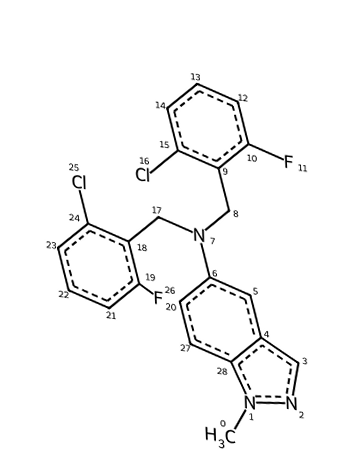 Cn1ncc2cc(N(Cc3c(F)cccc3Cl)Cc3c(F)cccc3Cl)ccc21